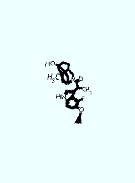 CC(C(=O)N1CC2CCC3(O)CC1CC2(C)C3)c1c[nH]c2ccc(OC3CC3)c(F)c12